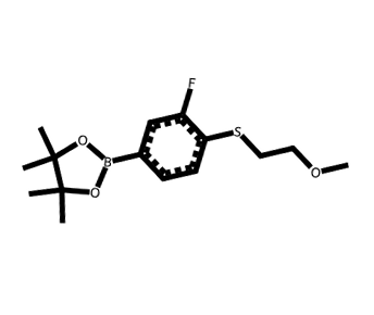 COCCSc1ccc(B2OC(C)(C)C(C)(C)O2)cc1F